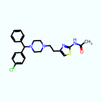 CC(=O)Nc1nc(CCN2CCN(C(c3ccccc3)c3ccc(Cl)cc3)CC2)cs1